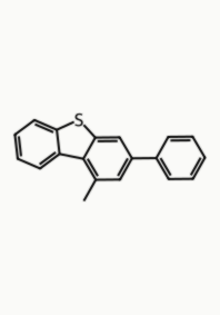 Cc1cc(-c2ccccc2)cc2sc3ccccc3c12